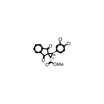 COC(=O)[C@H]1[C@H](c2ccc(Cl)c(Cl)c2)C12C(=O)c1ccccc1C2=O